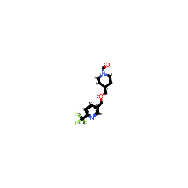 O=CN1CCC(COCc2ccc(C(F)(F)F)nc2)CC1